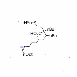 CCCCCCCC/C=C\CCCCCC(CCCC)C(CCCC)(CC[S][SnH])C(=O)O